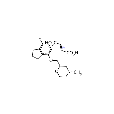 CN1CCOC(COc2ccc(F)c3c2CCC3)C1.O=C(O)/C=C/C(=O)O